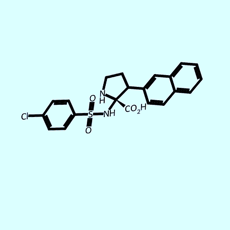 O=C(O)[C@@]1(NS(=O)(=O)c2ccc(Cl)cc2)NCCC1c1ccc2ccccc2c1